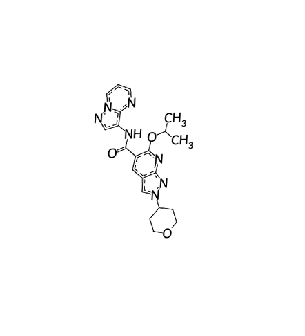 CC(C)Oc1nc2nn(C3CCOCC3)cc2cc1C(=O)Nc1cnn2cccnc12